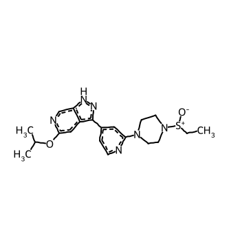 CC[S+]([O-])N1CCN(c2cc(-c3n[nH]c4cnc(OC(C)C)cc34)ccn2)CC1